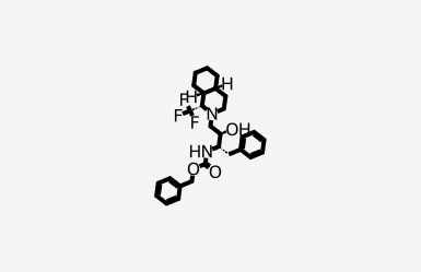 O=C(N[C@@H](Cc1ccccc1)[C@H](O)CN1CC[C@H]2CCCC[C@H]2[C@H]1C(F)(F)F)OCc1ccccc1